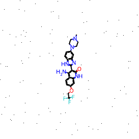 CN1CCN(c2ccc3[nH]c(-c4c(N)c5ccc(OCC(F)(F)F)cc5[nH]c4=O)nc3c2)CC1